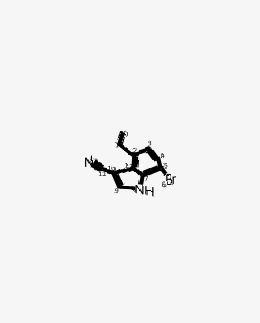 CCc1ccc(Br)c2[nH]cc(C#N)c12